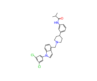 CC(C)C(=O)Nc1cccc(C2CCN(Cc3cccc4c3ccn4-c3cc(Cl)cc(Cl)c3)CC2)c1